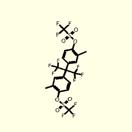 Cc1cc(C(c2ccc(OS(=O)(=O)C(F)(F)F)c(C)c2)(C(F)(F)F)C(F)(F)F)ccc1OS(=O)(=O)C(F)(F)F